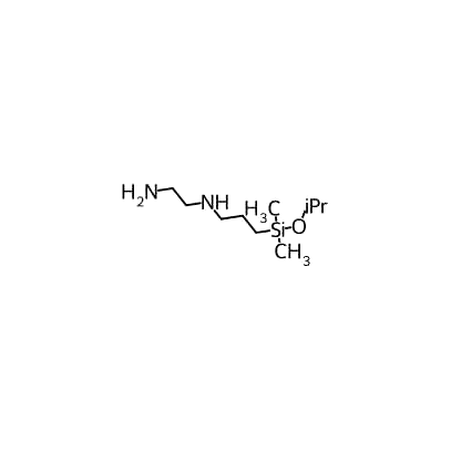 CC(C)O[Si](C)(C)CCCNCCN